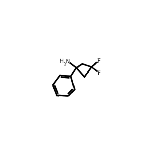 NC1(c2ccccc2)CC(F)(F)C1